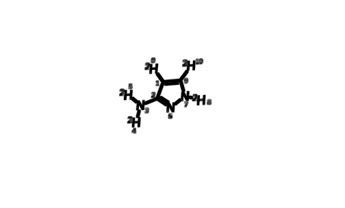 [2H]c1c(N([2H])[2H])nn([2H])c1[2H]